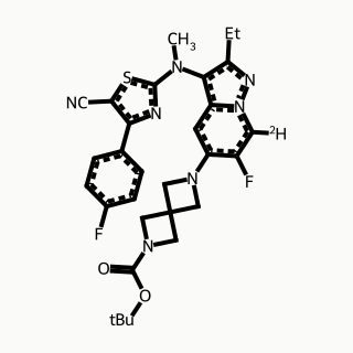 [2H]c1c(F)c(N2CC3(CN(C(=O)OC(C)(C)C)C3)C2)cc2c(N(C)c3nc(-c4ccc(F)cc4)c(C#N)s3)c(CC)nn12